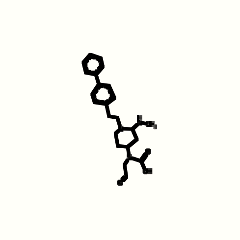 CNC1CC(N(CC=O)C(=O)O)CCN1CCc1ccc(-c2ccccc2)cc1